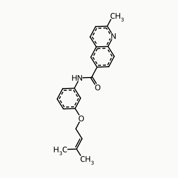 CC(C)=CCOc1cccc(NC(=O)c2ccc3nc(C)ccc3c2)c1